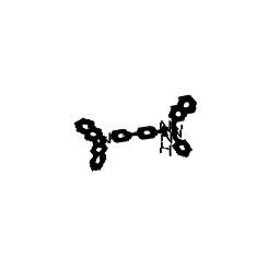 c1ccc(C2N=C(c3ccc4ccccc4c3)N=C(c3ccc(-c4ccc(-n5c6cc7ccccc7cc6c6cc7ccccc7cc65)cc4)cc3)N2)cc1